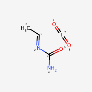 CC=NC(N)=O.[O]=[Ti]=[O]